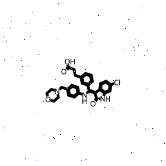 O=C(O)CCc1cccc(/C(Nc2ccc(CN3CCOCC3)cc2)=C2/C(=O)Nc3cc(Cl)ccc32)c1